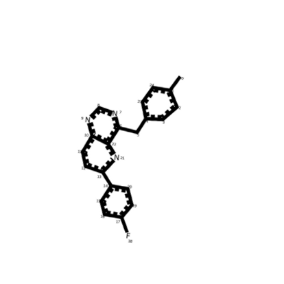 Cc1ccc(Cc2ncnc3ccc(-c4ccc(F)cc4)nc23)cc1